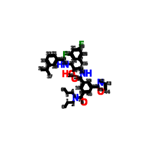 CCCN(CCC)C(=O)c1cc(C(=O)N[C@@H](Cc2cc(F)cc(F)c2)[C@H](O)CNCc2cccc(C(C)C)c2)cc(-c2ncco2)c1